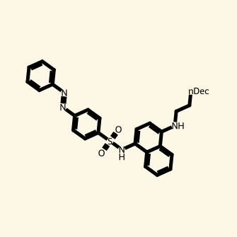 CCCCCCCCCCCCNc1ccc(NS(=O)(=O)c2ccc(N=Nc3ccccc3)cc2)c2ccccc12